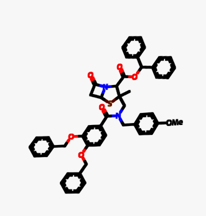 COc1ccc(CN(CC2(C)SC3CC(=O)N3C2C(=O)OC(c2ccccc2)c2ccccc2)C(=O)c2ccc(OCc3ccccc3)c(OCc3ccccc3)c2)cc1